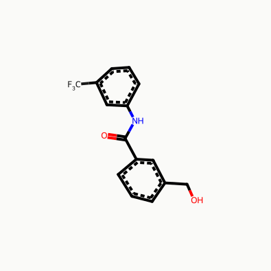 O=C(Nc1cccc(C(F)(F)F)c1)c1cccc(CO)c1